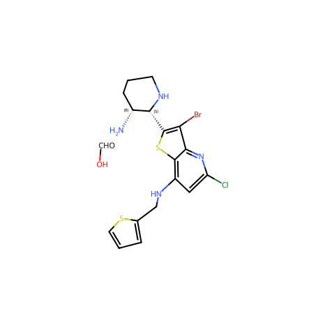 N[C@@H]1CCCN[C@@H]1c1sc2c(NCc3cccs3)cc(Cl)nc2c1Br.O=CO